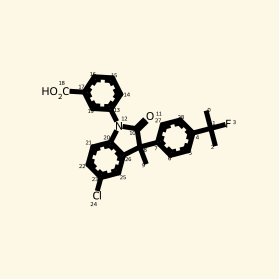 CC(C)(F)c1ccc(C2(C)C(=O)N(c3cccc(C(=O)O)c3)c3ccc(Cl)cc32)cc1